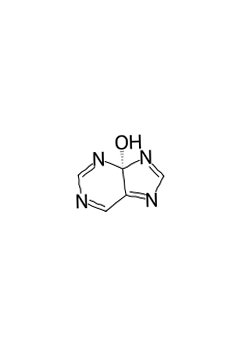 O[C@@]12N=CN=CC1=NC=N2